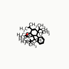 COC1C(C(C)C)=CC(OC)(C(C)C)C(c2ccccc2)C1(C(C)C)P(C(C)(C)C)C(C)(C)C